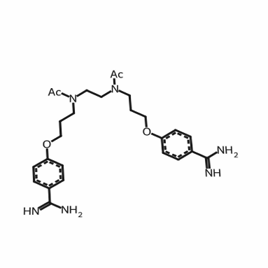 CC(=O)N(CCCOc1ccc(C(=N)N)cc1)CCN(CCCOc1ccc(C(=N)N)cc1)C(C)=O